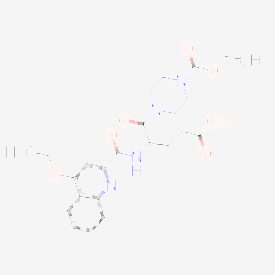 CCOC(=O)N1CCN(C(=O)C(CCC(=O)O)NC(=O)c2cc(OCC)c3ccccc3n2)CC1